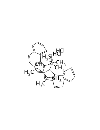 CC(C)C1=Cc2ccc3ccccc3c2[CH]1[Zr]([CH3])([CH3])(=[SiH2])[CH]1C(C(C)C)=Cc2ccc3ccccc3c21.Cl.Cl